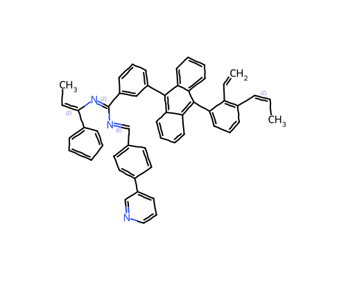 C=Cc1c(/C=C\C)cccc1-c1c2ccccc2c(-c2cccc(C(=N/C(=C\C)c3ccccc3)/N=C/c3ccc(-c4cccnc4)cc3)c2)c2ccccc12